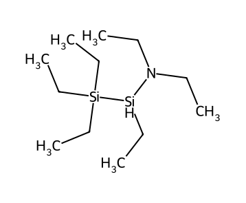 CCN(CC)[SiH](CC)[Si](CC)(CC)CC